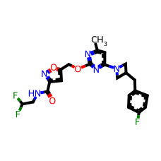 Cc1cc(N2CC(Cc3ccc(F)cc3)C2)nc(OCc2cc(C(=O)NCC(F)F)no2)n1